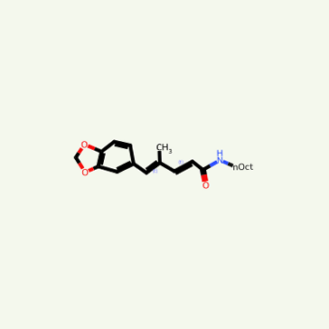 CCCCCCCCNC(=O)/C=C/C(C)=C/c1ccc2c(c1)OCO2